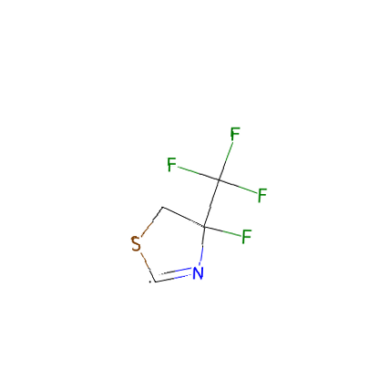 FC(F)(F)C1(F)CS[C]=N1